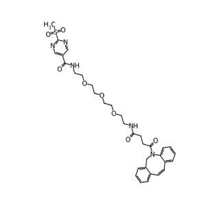 CS(=O)(=O)c1ncc(C(=O)NCCOCCOCCOCCNC(=O)CCC(=O)N2Cc3ccccc3/C=C\c3ccccc32)cn1